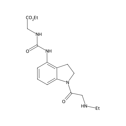 CCNCC(=O)N1CCc2c(NC(=O)NCC(=O)OCC)cccc21